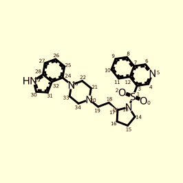 O=S(=O)(c1cncc2ccccc12)N1CCC[C@H]1CCN1CCN(c2cccc3[nH]ccc23)CC1